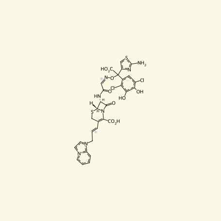 Nc1nc(C(O/N=C\C(=O)N[C@@H]2C(=O)N3C(C(=O)O)=C(/C=C/Cn4cc[n+]5ccccc45)CS[C@H]23)(C(=O)O)c2cc(Cl)c(O)c(O)c2Cl)cs1